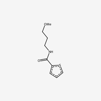 COCCCNC(=O)c1cccs1